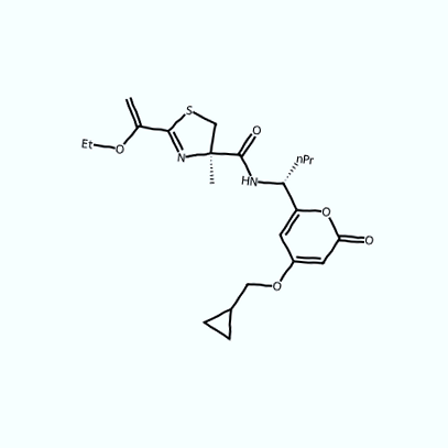 C=C(OCC)C1=N[C@](C)(C(=O)N[C@H](CCC)c2cc(OCC3CC3)cc(=O)o2)CS1